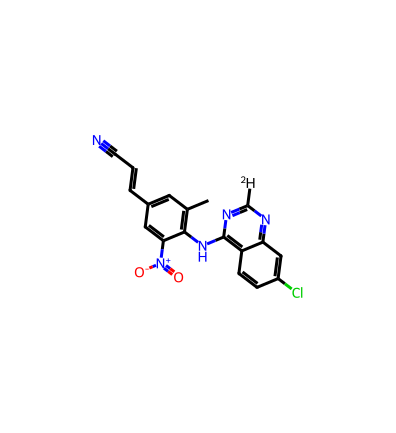 [2H]c1nc(Nc2c(C)cc(C=CC#N)cc2[N+](=O)[O-])c2ccc(Cl)cc2n1